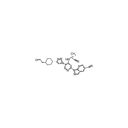 C[C@H](C#N)Nc1cc(-n2ncc3cc(C#N)cnc32)ncc1-n1cc([C@H]2CC[C@H](CC=O)CC2)nn1